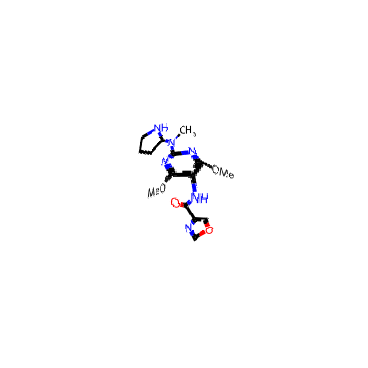 COc1nc(N(C)C2CCCN2)nc(OC)c1NC(=O)c1cocn1